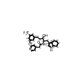 O=C(Cc1ccncc1)NC(Cc1c[nH]c2ccccc12)C(O)CCc1cc(C(F)(F)F)cc(C(F)(F)F)c1